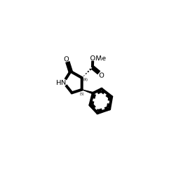 COC(=O)[C@H]1C(=O)NC[C@@H]1c1ccccc1